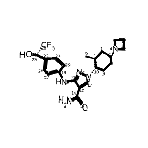 C[C@H]1C[C@@H](N2CCC2)CC[C@@H]1n1cc(C(N)=O)c(Nc2ccc([C@H](O)C(F)(F)F)cc2)n1